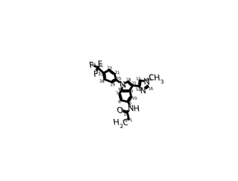 C=CC(=O)Nc1ccc2c(c1)c(-c1cn(C)cn1)cn2-c1ccc(C(F)(F)F)cc1